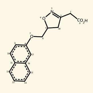 O=C(O)CC1=NOC(COc2ccc3ccccc3c2)C1